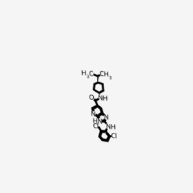 CC(C)[C@H]1CC[C@H](NC(=O)c2cnc3[nH]c(Nc4c(Cl)cccc4Cl)nc3c2)CC1